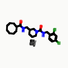 O=C(NCC1CCCN(C(=O)NCc2ccc(Cl)cc2Cl)C1)[C]1CCCCCCC1.[CH2].[CH2]